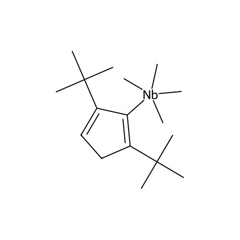 CC(C)(C)C1=CCC(C(C)(C)C)=[C]1[Nb]([CH3])([CH3])([CH3])[CH3]